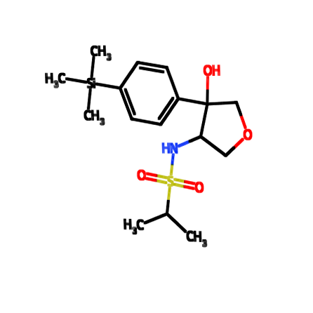 CC(C)S(=O)(=O)NC1COCC1(O)c1ccc([Si](C)(C)C)cc1